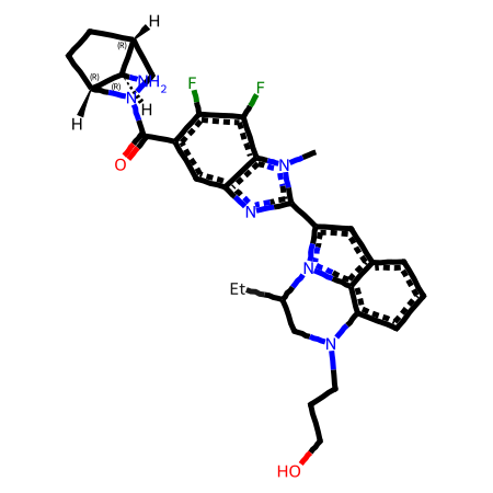 CCC1CN(CCCO)c2cccc3cc(-c4nc5cc(C(=O)N6C[C@H]7CC[C@@H]6[C@@H]7N)c(F)c(F)c5n4C)n1c23